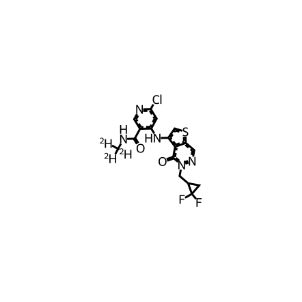 [2H]C([2H])([2H])NC(=O)c1cnc(Cl)cc1Nc1csc2cnn(CC3CC3(F)F)c(=O)c12